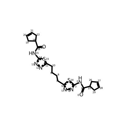 O=C(Nc1nnc(CCCCc2nnc(NC(=O)C3CC=CC3)s2)s1)C1CC=CC1